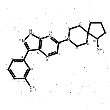 N[C@@H]1CCCC12CCN(c1cnc3c(-c4cccc(C(F)(F)F)c4)n[nH]c3n1)CC2